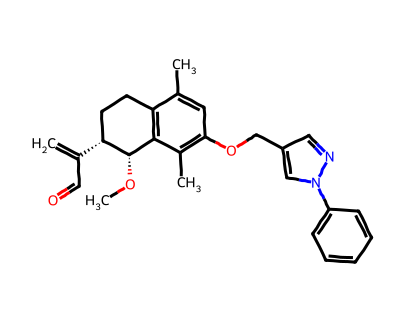 C=C(C=O)[C@@H]1CCc2c(C)cc(OCc3cnn(-c4ccccc4)c3)c(C)c2[C@@H]1OC